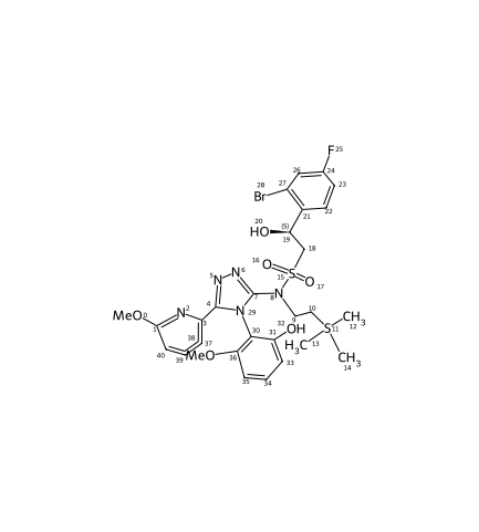 COC1=NC(c2nnc(N(CCS(C)(C)C)S(=O)(=O)C[C@@H](O)c3ccc(F)cc3Br)n2-c2c(O)cccc2OC)=C=C=C1